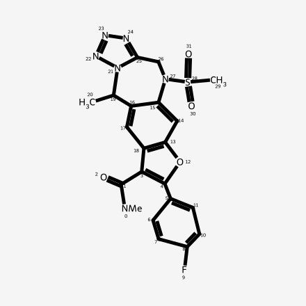 CNC(=O)c1c(-c2ccc(F)cc2)oc2cc3c(cc12)C(C)n1nnnc1CN3S(C)(=O)=O